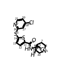 O=C(N[C@H]1CN2CCC1CC2)c1ccc(Sc2cc(Cl)ccn2)s1